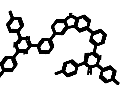 Cc1ccc(C2=NC(c3cccc(-c4ccc5sc6c(c5c4)=CC(c4cccc(-c5nc(-c7ccc(C)cc7)nc(-c7ccc(C)cc7)n5)c4)CC=6)c3)=NC(c3ccc(C)cc3)N2)cc1